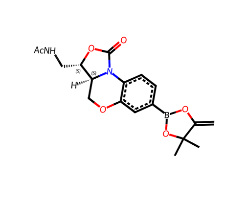 C=C1OB(c2ccc3c(c2)OC[C@H]2[C@H](CNC(C)=O)OC(=O)N32)OC1(C)C